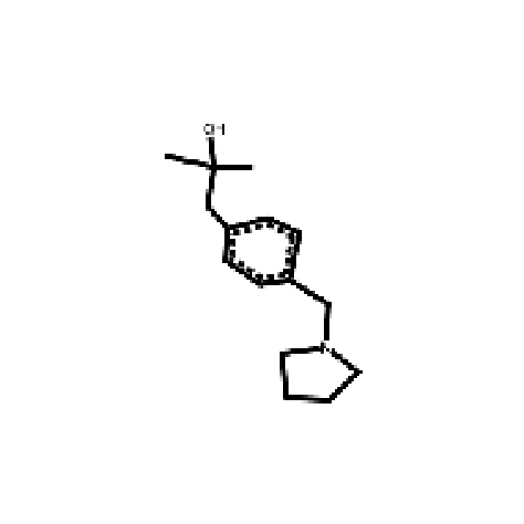 CC(C)(O)Cc1ccc(CN2CCCC2)cc1